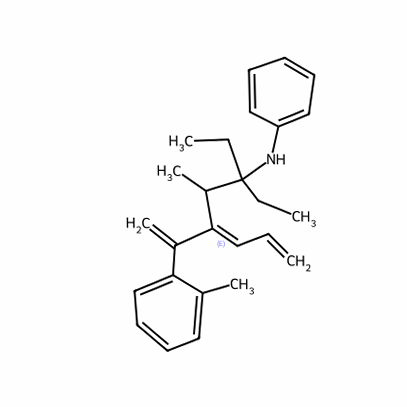 C=C/C=C(/C(=C)c1ccccc1C)C(C)C(CC)(CC)Nc1ccccc1